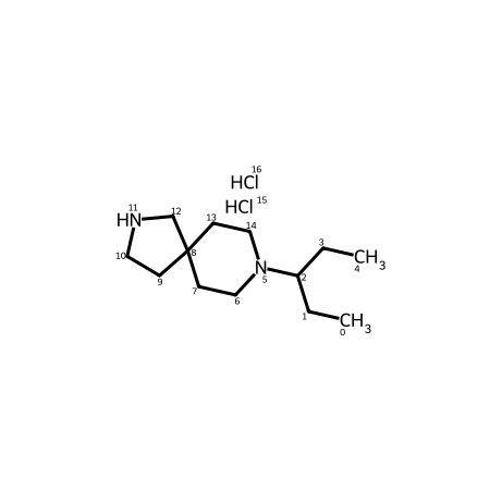 CCC(CC)N1CCC2(CCNC2)CC1.Cl.Cl